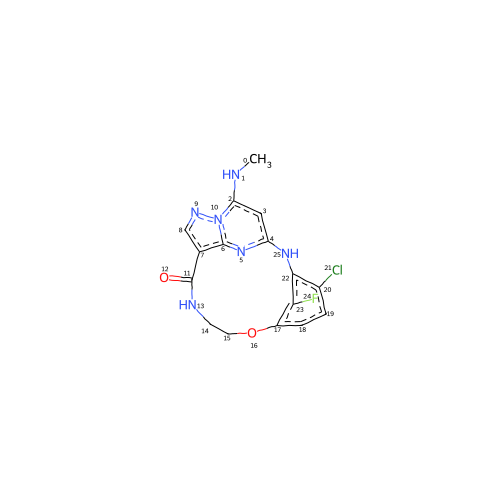 CNc1cc2nc3c(cnn13)C(=O)NCCOc1ccc(Cl)c(c1F)N2